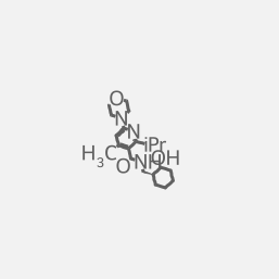 Cc1cc(N2CCOCC2)nc(C(C)C)c1C(=O)NC[C@@H]1CCCC[C@H]1O